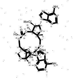 CO[C@H]1[C@H](n2cnc3c(N)ncnc32)O[C@]2(C)CO[P@](=O)(S)O[C@H]3[C@H]4OC[C@]3(CO[P@](=O)(S)O[C@@H]12)O[C@H]4n1cnc2c(N)ncnc21